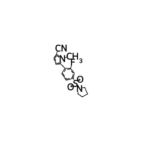 Cn1c(C#N)ccc1-c1ccc(S(=O)(=O)N2CCCC2)cc1F